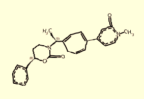 C[C@@H](C1=CC=C(c2ccn(C)c(=O)c2)C=CC1)N1CC[C@H](c2ccccc2)OC1=O